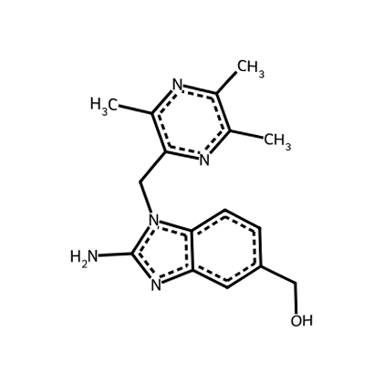 Cc1nc(C)c(Cn2c(N)nc3cc(CO)ccc32)nc1C